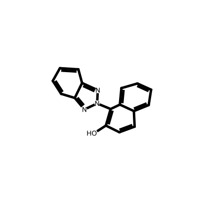 Oc1ccc2ccccc2c1-n1nc2ccccc2n1